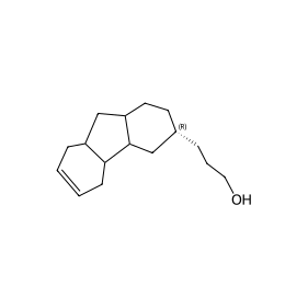 OCCC[C@H]1CCC2CC3CC=CCC3C2C1